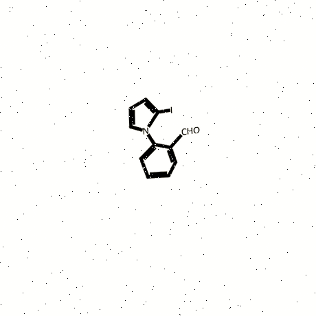 O=Cc1ccccc1-n1cccc1I